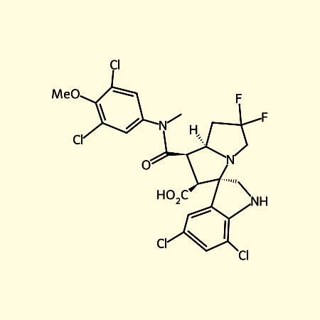 COc1c(Cl)cc(N(C)C(=O)[C@H]2[C@H]3CC(F)(F)CN3[C@]3(CNc4c(Cl)cc(Cl)cc43)[C@H]2C(=O)O)cc1Cl